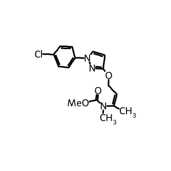 COC(=O)N(C)C(C)=CCOc1ccn(-c2ccc(Cl)cc2)n1